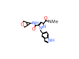 CNC(=O)c1cc(C(=O)NC2C3COCC32)n(Cc2ccc3[nH]ccc3c2)n1